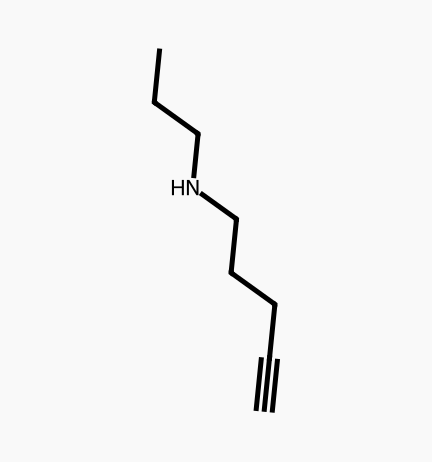 C#CCCCNCCC